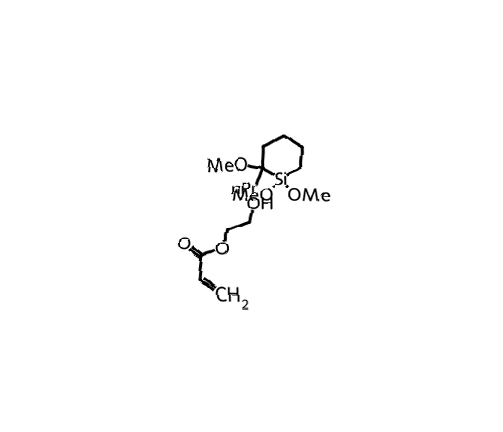 C=CC(=O)OCCO.CCCC1(OC)CCCC[Si]1(OC)OC